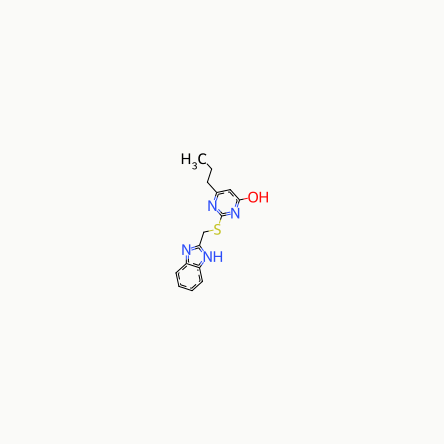 CCCc1cc(O)nc(SCc2nc3ccccc3[nH]2)n1